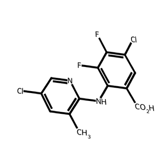 Cc1cc(Cl)cnc1Nc1c(C(=O)O)cc(Cl)c(F)c1F